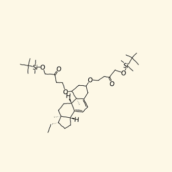 CC[C@H]1CC[C@H]2C3=CC=C4CC(OCCC(=O)CO[Si](C)(C)C(C)(C)C)CC(OCCC(=O)CO[Si](C)(C)C(C)(C)C)[C@]4(C)[C@H]3CC[C@]12C